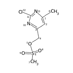 Cc1cc(COS(C)(=O)=O)nc(Cl)n1